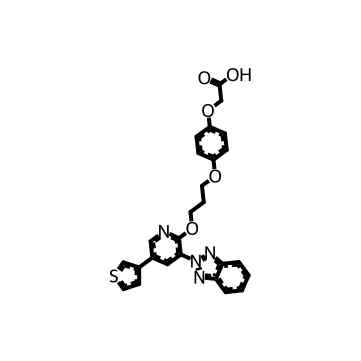 O=C(O)COc1ccc(OCCCOc2ncc(-c3ccsc3)cc2-n2nc3ccccc3n2)cc1